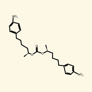 C[C@@H](CCCCc1ccc([N+](=O)[O-])cc1)OC(=O)O[C@@H](C)CCCCc1ccc([N+](=O)[O-])cc1